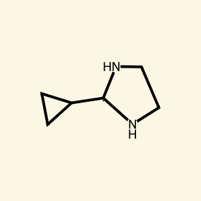 C1CN[C](C2CC2)N1